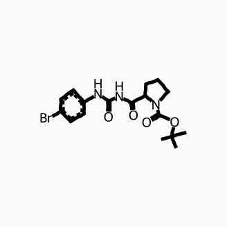 CC(C)(C)OC(=O)N1CCCC1C(=O)NC(=O)Nc1ccc(Br)cc1